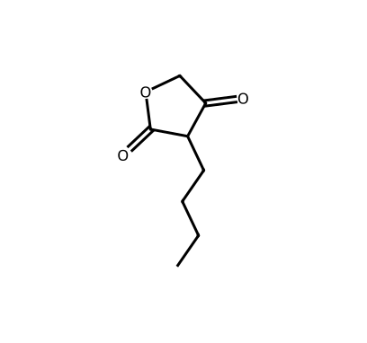 CCCCC1C(=O)COC1=O